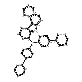 c1ccc(-c2ccc(N(c3ccc(-c4ccccc4)cc3)c3nccc4c3oc3ccc5ccccc5c34)cc2)cc1